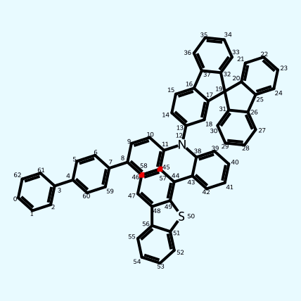 c1ccc(-c2ccc(-c3ccc(N(c4ccc5c(c4)C4(c6ccccc6-c6ccccc64)c4ccccc4-5)c4ccccc4-c4cccc5c4sc4ccccc45)cc3)cc2)cc1